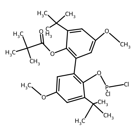 COc1cc(-c2cc(OC)cc(C(C)(C)C)c2OP(Cl)Cl)c(OC(=O)C(C)(C)C)c(C(C)(C)C)c1